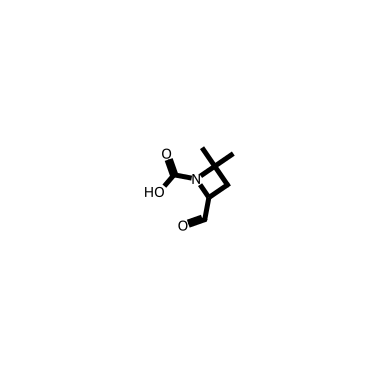 CC1(C)CC(C=O)N1C(=O)O